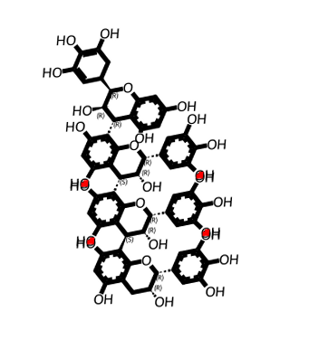 OC1=CC([C@H]2Oc3cc(O)cc(O)c3[C@H](c3c(O)cc(O)c4c3O[C@H](c3cc(O)c(O)c(O)c3)[C@H](O)[C@@H]4c3c(O)cc(O)c4c3O[C@H](c3cc(O)c(O)c(O)c3)[C@H](O)[C@H]4c3c(O)cc(O)c4c3O[C@H](c3cc(O)c(O)c(O)c3)[C@H](O)C4)[C@H]2O)CC(O)=C1O